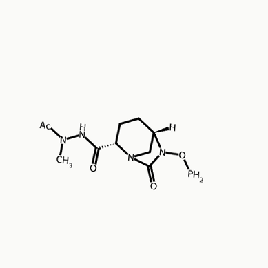 CC(=O)N(C)NC(=O)[C@@H]1CC[C@H]2CN1C(=O)N2OP